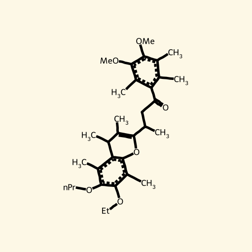 CCCOc1c(C)c2c(c(C)c1OCC)OC(C(C)CC(=O)c1c(C)c(C)c(OC)c(OC)c1C)=C(C)C2C